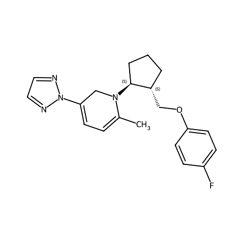 CC1=CC=C(n2nccn2)CN1[C@H]1CCC[C@@H]1COc1ccc(F)cc1